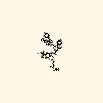 O=C(O)CCCCCN1/C(=C/C=C/c2oc3ccccc3[n+]2CCCS(=O)(=O)NCc2ccccc2[N+](=O)[O-])Oc2cc(S(=O)(=O)O)ccc21